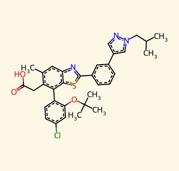 Cc1cc2nc(-c3cccc(-c4cnn(CC(C)C)c4)c3)sc2c(-c2ccc(Cl)cc2OC(C)(C)C)c1CC(=O)O